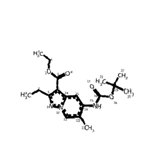 CCOC(=O)c1c(CC)nn2cc(C)c(NC(=O)OC(C)(C)C)cc12